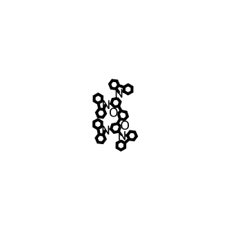 c1ccc2c(c1)c1ccccc1n2-c1cc(-n2c3ccccc3c3ccccc32)c2oc3c(ccc4oc5c(-n6c7ccccc7c7ccccc76)cc(-n6c7ccccc7c7ccccc76)cc5c43)c2c1